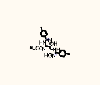 C=C=C=C=NC(CCN/C(=N\O)c1ccc(C)cc1)N/C(=N\O)c1ccc(C)cc1